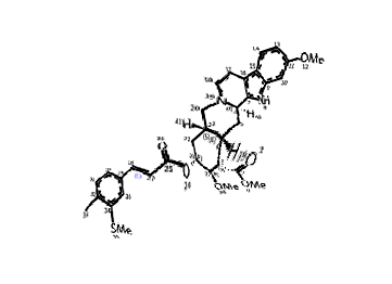 COC(=O)[C@H]1[C@H]2C[C@@H]3c4[nH]c5cc(OC)ccc5c4CCN3C[C@H]2C[C@@H](OC(=O)/C=C/c2ccc(C)c(SC)c2)[C@@H]1OC